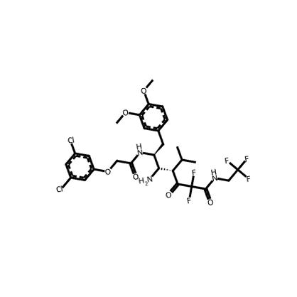 COc1ccc(C[C@H](NC(=O)COc2cc(Cl)cc(Cl)c2)C(N)[C@@H](C(=O)C(F)(F)C(=O)NCC(F)(F)F)C(C)C)cc1OC